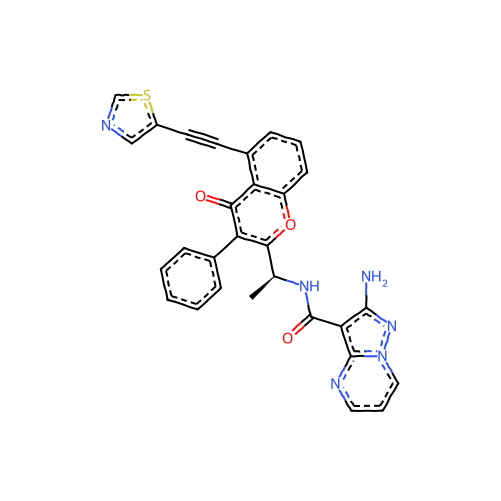 C[C@H](NC(=O)c1c(N)nn2cccnc12)c1oc2cccc(C#Cc3cncs3)c2c(=O)c1-c1ccccc1